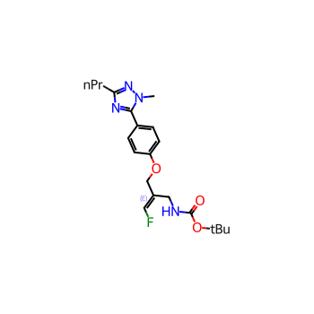 CCCc1nc(-c2ccc(OC/C(=C/F)CNC(=O)OC(C)(C)C)cc2)n(C)n1